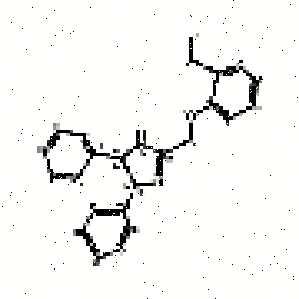 CCc1ccccc1OCC1=N[C@@H](c2ccccc2)[C@@H](c2ccccc2)N1